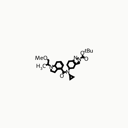 COCC(C)N1CCC2=C(C(=O)N(C3CC3)C3CCc4nn(C(=O)OC(C)(C)C)cc4C3)C=CCC21